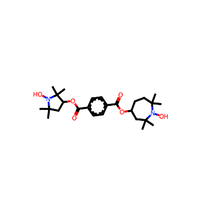 CC1(C)CCC(OC(=O)c2ccc(C(=O)OC3CC(C)(C)N(O)C3(C)C)cc2)CC(C)(C)N1O